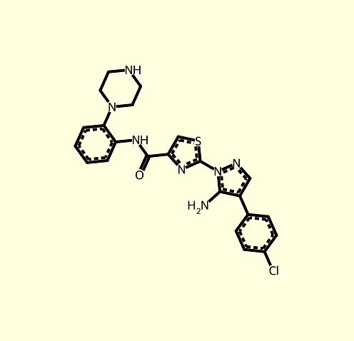 Nc1c(-c2ccc(Cl)cc2)cnn1-c1nc(C(=O)Nc2ccccc2N2CCNCC2)cs1